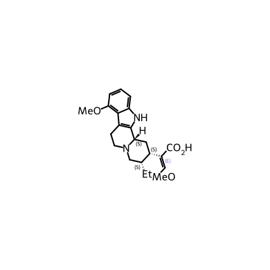 CC[C@@H]1CN2CCc3c([nH]c4cccc(OC)c34)[C@@H]2C[C@@H]1/C(=C\OC)C(=O)O